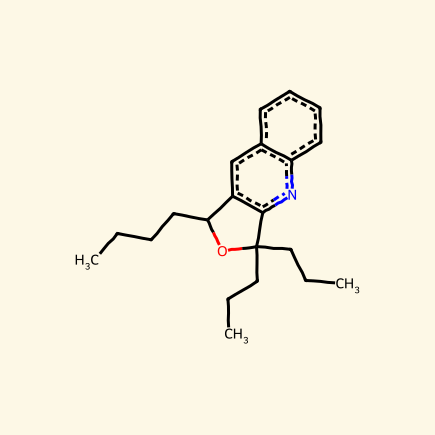 CCCCC1OC(CCC)(CCC)c2nc3ccccc3cc21